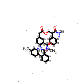 CCNC(=O)C(COC(=O)Cc1ccc(NC(=O)c2ccccc2-c2ccc(C(F)(F)F)cc2)c(C(=O)N(C)C)c1)c1ccccc1